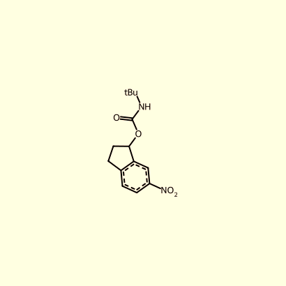 CC(C)(C)NC(=O)OC1CCc2ccc([N+](=O)[O-])cc21